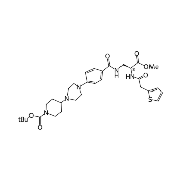 COC(=O)[C@H](CNC(=O)c1ccc(N2CCN(C3CCN(C(=O)OC(C)(C)C)CC3)CC2)cc1)NC(=O)Cc1cccs1